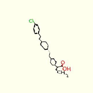 C=CC(C(=O)O)C1CCC(CC[C@H]2CC[C@H](CCc3ccc(Cl)cc3)CC2)CC1